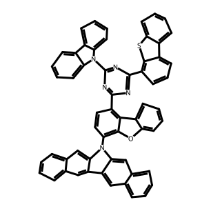 c1ccc2cc3c(cc2c1)c1cc2ccccc2cc1n3-c1ccc(-c2nc(-c3cccc4c3sc3ccccc34)nc(-n3c4ccccc4c4ccccc43)n2)c2c1oc1ccccc12